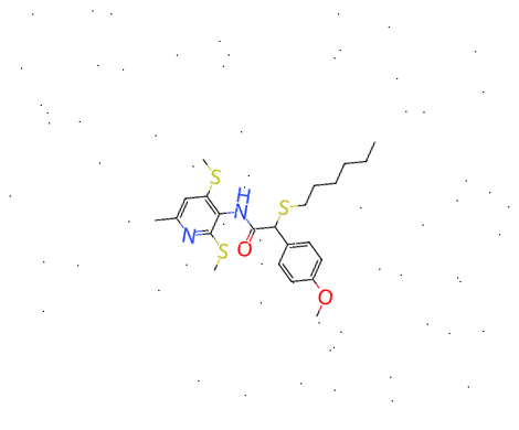 CCCCCCSC(C(=O)Nc1c(SC)cc(C)nc1SC)c1ccc(OC)cc1